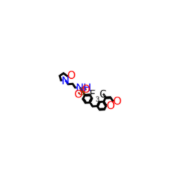 O=C1CCCN1CCCNS(=O)(=O)c1ccc(Cc2ccc3oc(=O)cc(C(F)(F)F)c3c2)cc1